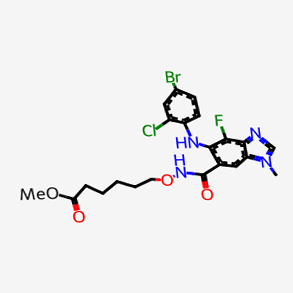 COC(=O)CCCCCONC(=O)c1cc2c(ncn2C)c(F)c1Nc1ccc(Br)cc1Cl